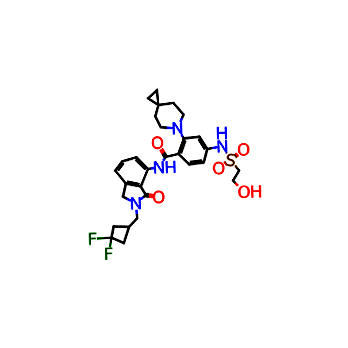 O=C(Nc1cccc2c1C(=O)N(CC1CC(F)(F)C1)C2)c1ccc(NS(=O)(=O)CCO)cc1N1CCC2(CC1)CC2